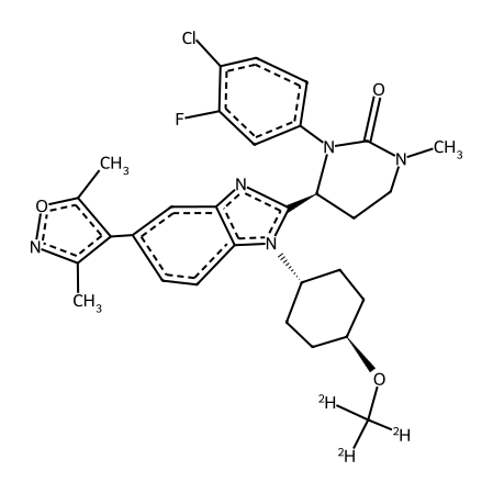 [2H]C([2H])([2H])O[C@H]1CC[C@H](n2c([C@@H]3CCN(C)C(=O)N3c3ccc(Cl)c(F)c3)nc3cc(-c4c(C)noc4C)ccc32)CC1